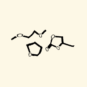 C1CCOC1.CC1COC(=O)O1.COCCOC